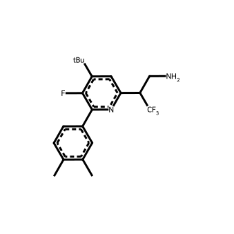 Cc1ccc(-c2nc(C(CN)C(F)(F)F)cc(C(C)(C)C)c2F)cc1C